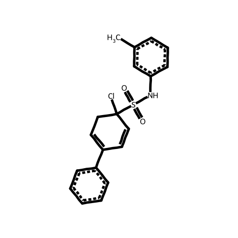 Cc1cccc(NS(=O)(=O)C2(Cl)C=CC(c3ccccc3)=CC2)c1